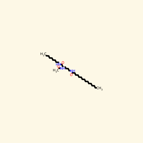 CCCCCCCCCCCCCCCC(=O)NCCCC[C@H](NC(C)=O)C(=O)NCCCCCCCCC